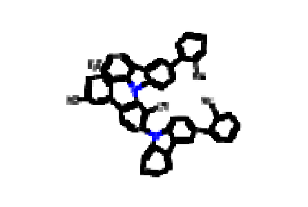 N#Cc1cc(-c2ccc(-n3c4ccccc4c4cc(-c5ccccc5C#N)ccc43)c(C#N)c2-n2c3ccccc3c3cc(-c4ccccc4C#N)ccc32)cc(C(F)(F)F)c1